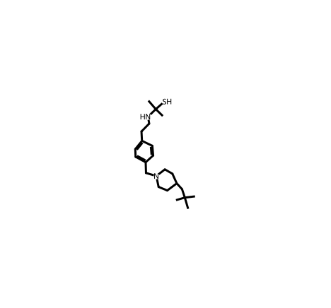 CC(C)(C)CC1CCN(Cc2ccc(CCNC(C)(C)S)cc2)CC1